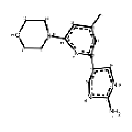 Cc1cc(-c2cnc(N)nc2)nc(N2CCOCC2)c1